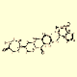 O=C1CCN(C2CCN(C(=O)c3cc(Cc4c[nH]c(=O)c5cccn45)ccc3F)CC2)CCN1